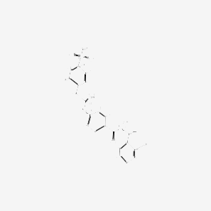 CCC(c1ccccc1C)N(C)C(=O)c1ccc(NC(=O)Cc2ccc(S(=O)(=O)CC)cc2)cc1